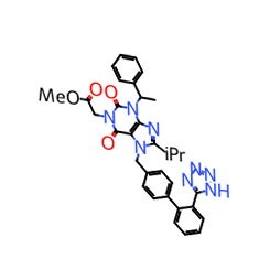 COC(=O)Cn1c(=O)c2c(nc(C(C)C)n2Cc2ccc(-c3ccccc3-c3nnn[nH]3)cc2)n(C(C)c2ccccc2)c1=O